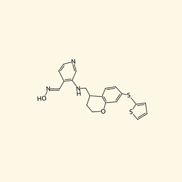 ON=Cc1ccncc1NCC1CCOc2cc(Sc3cccs3)ccc21